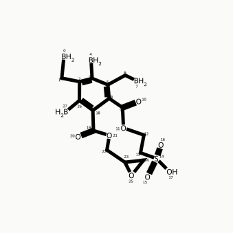 BCc1c(B)c(CB)c(C(=O)OCCS(=O)(=O)O)c(C(=O)OCC2CO2)c1B